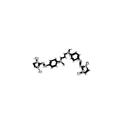 CCn1cc[n+](CC)c1N=Nc1ccc(N(C)CCCN(C)c2ccc(N=Nc3n(CC)cc[n+]3CC)cc2)cc1